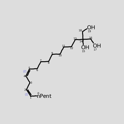 CCCCC/C=C\C/C=C\CCCCCCCCC(O)(CO)CO